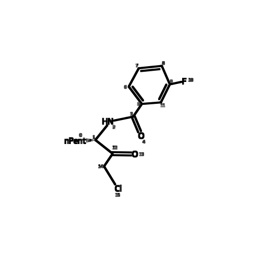 CCCCC[C@H](NC(=O)c1cccc(F)c1)C(=O)CCl